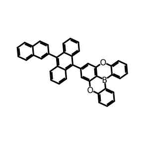 c1ccc2c(c1)Oc1cc(-c3c4ccccc4c(-c4ccc5ccccc5c4)c4ccccc34)cc3c1B2c1ccccc1O3